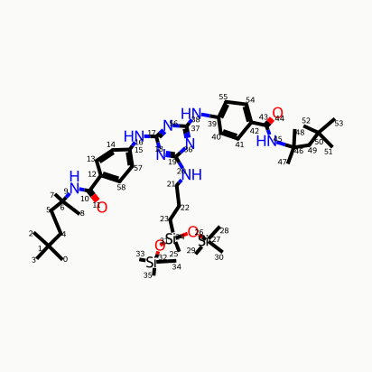 CC(C)(C)CCC(C)(C)NC(=O)c1ccc(Nc2nc(NCCC[Si](C)(O[Si](C)(C)C)O[Si](C)(C)C)nc(Nc3ccc(C(=O)NC(C)(C)CC(C)(C)C)cc3)n2)cc1